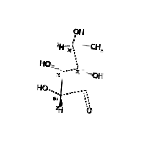 [2H][C@](O)(C=O)[C@H](O)[C@@H](O)[C@]([2H])(C)O